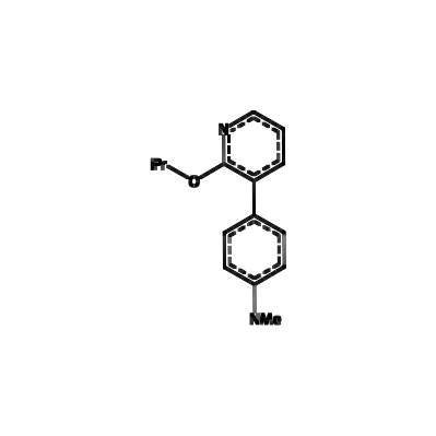 CNc1ccc(-c2cccnc2OC(C)C)cc1